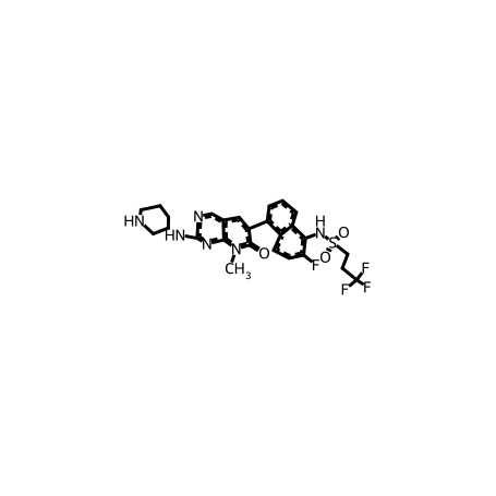 Cn1c(=O)c(-c2cccc3c(NS(=O)(=O)CCC(F)(F)F)c(F)ccc23)cc2cnc(N[C@H]3CCCNC3)nc21